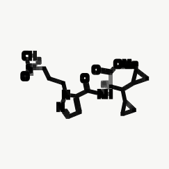 COC(=O)[C@@H](NC(=O)c1ccnn1CCC[S+](C)[O-])C(C1CC1)C1CC1